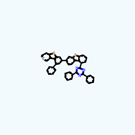 c1ccc(-c2nc(-c3ccccc3)nc(-c3cccc4sc5cc(-c6cc(-c7ccccc7)c7c(c6)sc6ccccc67)ccc5c34)n2)cc1